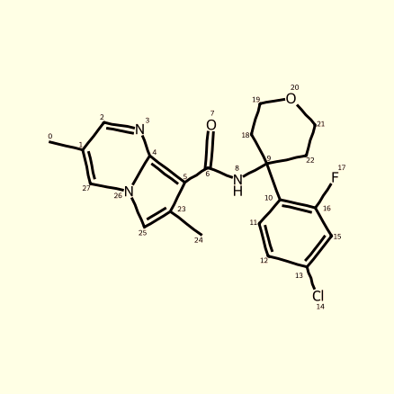 Cc1cnc2c(C(=O)NC3(c4ccc(Cl)cc4F)CCOCC3)c(C)cn2c1